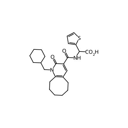 O=C(NC(C(=O)O)c1cccs1)c1cc2c(n(CC3CCCCC3)c1=O)CCCCCC2